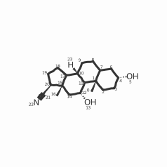 C[C@]12CC[C@@H](O)CC1CC[C@@H]1C2[C@H](O)C[C@@]2(C)C1CC[C@@H]2C#N